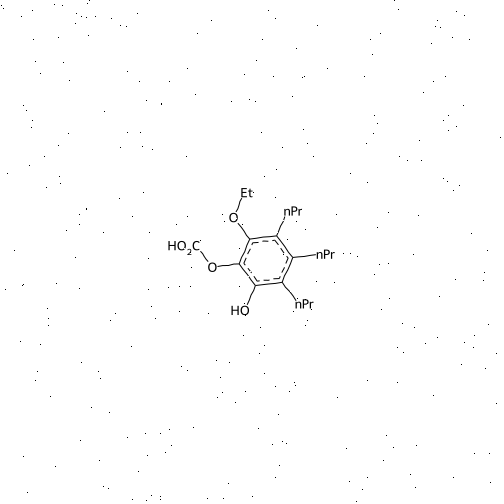 CCCc1c(O)c(OC(=O)O)c(OCC)c(CCC)c1CCC